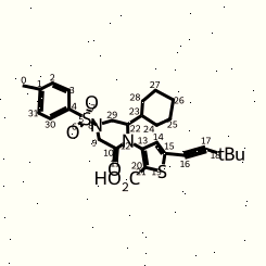 Cc1ccc(S(=O)(=O)N2CC(=O)N(c3cc(C#CC(C)(C)C)sc3C(=O)O)C(C3CCCCC3)C2)cc1